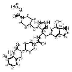 Cc1cc(CC(NC(=O)N2CCC(N3Cc4cccc(F)c4NC3=O)CC2)C2=NNNN2CC2CCN(C(=O)OC(C)(C)C)CC2)cc2cn[nH]c12